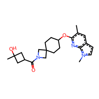 Cc1cc2ccn(C)c2nc1OC1CCC2(CC1)CN(C(=O)C1CC(C)(O)C1)C2